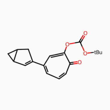 CC(C)(C)OC(=O)Oc1cc(C2=CC3CC3C2)cccc1=O